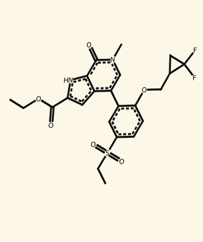 CCOC(=O)c1cc2c(-c3cc(S(=O)(=O)CC)ccc3OCC3CC3(F)F)cn(C)c(=O)c2[nH]1